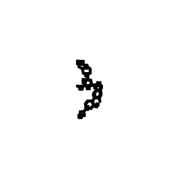 COc1nc(N2CCOC(CO)C2)cc(-n2ncc3cc(C)c(C4CCN(C5COC5)C[C@@H]4F)cc32)n1